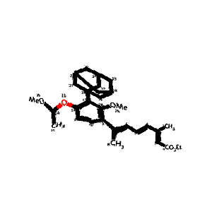 CCOC(=O)C=C(C)C=CC=C(C)c1ccc(OC(C)OC)c(C23CC4CC(CC(C4)C2)C3)c1OC